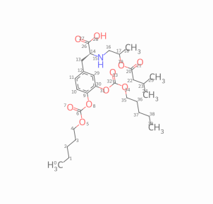 CCCCCOC(=O)Oc1ccc(C[C@H](NCC(C)OC(=O)CC(C)C)C(=O)O)cc1OC(=O)OCCCCC